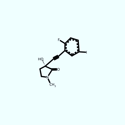 CN1CC[C@@](O)(C#Cc2cc(I)ccc2F)C1=O